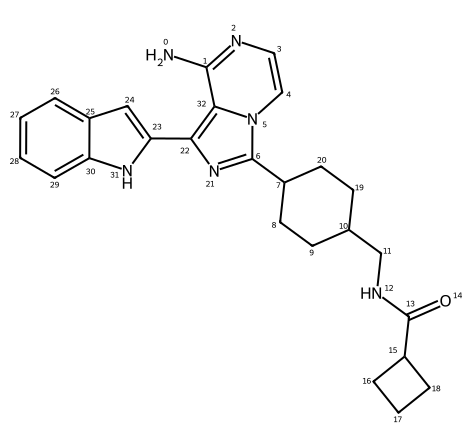 Nc1nccn2c(C3CCC(CNC(=O)C4CCC4)CC3)nc(-c3cc4ccccc4[nH]3)c12